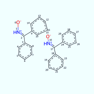 [O-][NH+]=C(c1ccccc1)c1ccccc1.[O-][NH+]=C(c1ccccc1)c1ccccc1